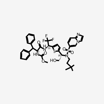 COC(=O)N[C@H](C(=O)N[C@H](c1ccc([C@@H](CO)N(CCC(C)(C)C)S(=O)(=O)c2ccc3nccn3c2)s1)C(F)(F)F)C(c1ccccc1)c1ccccc1